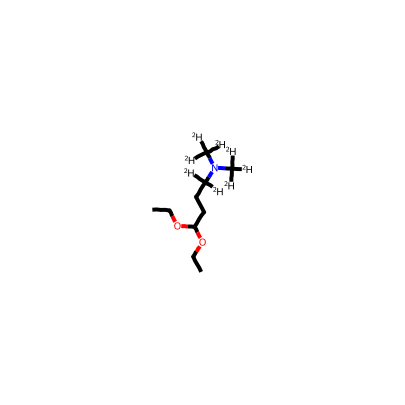 [2H]C([2H])([2H])N(C([2H])([2H])[2H])C([2H])([2H])CCC(OCC)OCC